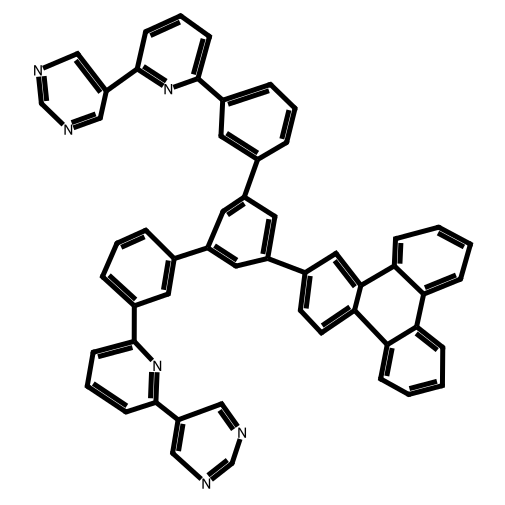 c1cc(-c2cc(-c3cccc(-c4cccc(-c5cncnc5)n4)c3)cc(-c3ccc4c5ccccc5c5ccccc5c4c3)c2)cc(-c2cccc(-c3cncnc3)n2)c1